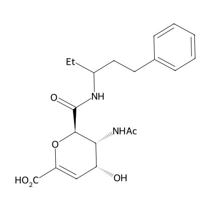 CCC(CCc1ccccc1)NC(=O)[C@@H]1OC(C(=O)O)=C[C@@H](O)[C@H]1NC(C)=O